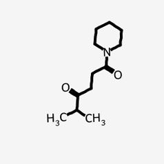 CC(C)C(=O)CCC(=O)N1CCCCC1